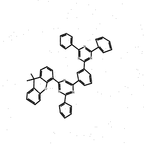 CC1(C)c2ccccc2Oc2c(-c3nc(-c4ccccc4)nc(-c4cccc(-c5nc(-c6ccccc6)nc(-c6ccccc6)n5)c4)n3)cccc21